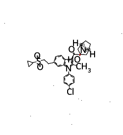 Cc1c(C(=O)CN2[C@@H]3CC[C@H]2CC(O)C3)c2ccc(CCS(=O)(=O)C3CC3)cc2n1-c1ccc(Cl)cc1